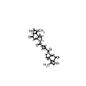 Cc1c[nH]c2c1C13CC1CN(C(=O)C14CC(C(=O)N5CC6CC67C5=CC(=O)c5[nH]cc(C)c57)(C1)C4)C3=CC2=O